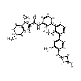 Cc1cc(-c2cccc(-c3cccc(NC(=O)c4nc5c(n4C)CCN(C)C5)c3Cl)c2Cl)ccc1CN1CC(F)C1